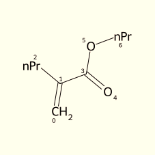 C=C(CCC)C(=O)OCCC